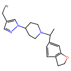 CC(C)Cc1cnn(C2CCN(C(C)c3ccc4c(c3)OCC4)CC2)c1